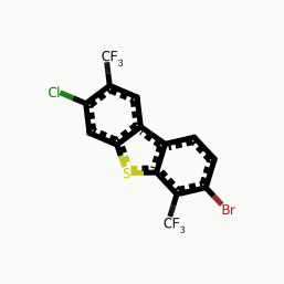 FC(F)(F)c1cc2c(cc1Cl)sc1c(C(F)(F)F)c(Br)ccc12